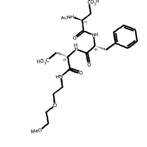 COCCOCCNC(=O)[C@H](CC(=O)O)NC(=O)[C@@H](Cc1ccccc1)NC(=O)[C@H](CC(=O)O)NC(C)=O